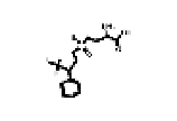 N=S(=O)(CCC(c1ccccc1)C(F)(F)F)CC[C@H](N)C(=O)O